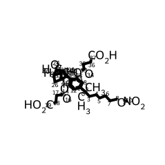 CC(C)(CCCCCCO[N+](=O)[O-])c1cc(OC(=O)CCC(=O)O)c([C@@H]2CC(=O)[C@@H]3C[C@H]2C3(C)C)c(OC(=O)CCC(=O)O)c1